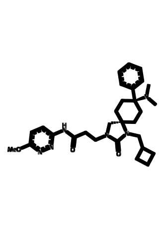 COc1ccc(NC(=O)CCN2C[C@]3(CC[C@](c4ccccc4)(N(C)C)CC3)N(CC3CCC3)C2=O)nn1